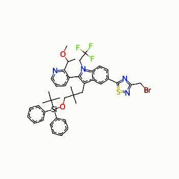 COC(C)c1ncccc1-c1c(CC(C)(C)CO[Si](c2ccccc2)(c2ccccc2)C(C)(C)C)c2cc(-c3nc(CBr)ns3)ccc2n1CC(F)(F)F